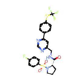 O=C(NCc1cc(-c2ccc(SC(F)(F)F)cc2)ncn1)[C@@H]1CCCN1S(=O)(=O)c1ccc(F)cc1